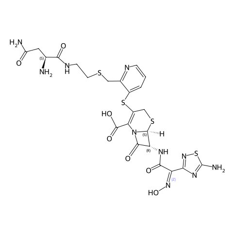 NC(=O)C[C@H](N)C(=O)NCCSCc1ncccc1SC1=C(C(=O)O)N2C(=O)[C@@H](NC(=O)/C(=N\O)c3nsc(N)n3)[C@@H]2SC1